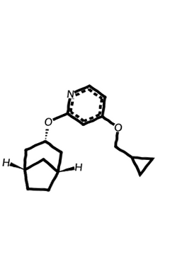 c1cc(OCC2CC2)cc(O[C@@H]2C[C@@H]3CC[C@@H](C3)C2)n1